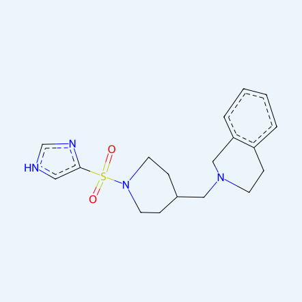 O=S(=O)(c1c[nH]cn1)N1CCC(CN2CCc3ccccc3C2)CC1